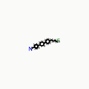 N#Cc1ccc(C2CCC(C3CCC(CC/C=C/F)CC3)CC2)cc1